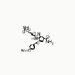 COc1ccc(COc2cc(C(N)=O)cc([N+](=O)[O-])c2NC/C=C/COC(N)=O)cc1